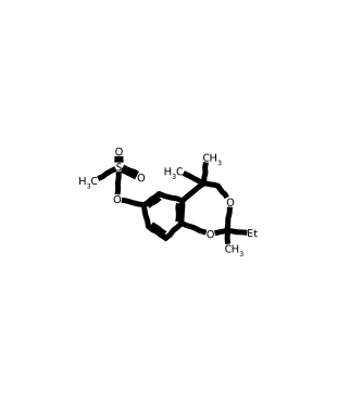 CCC1(C)OCC(C)(C)c2cc(OS(C)(=O)=O)ccc2O1